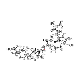 CC[C@H](C)C([C@H](CO)CC(=O)N1CCCC1[C@H](OC)[C@@H](C)C(=O)NCCN1C(=O)[C@]23CCC(C)(C)C1C2[C@H]1CCC2[C@@]4(C)CC[C@H](O)C(C)(C)C4CC[C@@]2(C)[C@]1(C)CC3)N(C)C(=O)[C@@H](NC(=O)[C@H](C(C)C)N(C)C)C(C)C